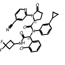 N#Cc1ccnc(N2C(=O)CC[C@H]2C(=O)N(c2cccc(C3CC3)c2)[C@H](C(=O)NC2CC(F)(F)C2)c2ccccc2Cl)c1